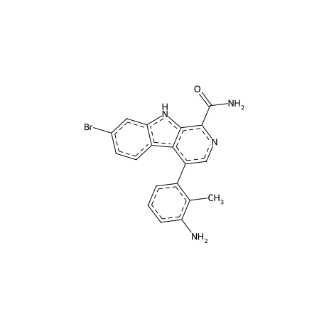 Cc1c(N)cccc1-c1cnc(C(N)=O)c2[nH]c3cc(Br)ccc3c12